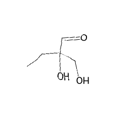 CCC(O)(C=O)CO